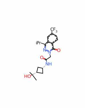 CC(C)c1nn(CC(=O)N[C@H]2C[C@@H](C(C)(C)O)C2)c(=O)c2ccc(C(F)(F)F)cc12